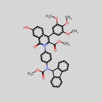 COC(=O)c1c(-c2cc(OC)c(OC)c(OC)c2)c2ccc(O)cc2c(=O)n1-c1ccc(N(C(=O)OC)C2c3ccccc3-c3ccccc32)cc1